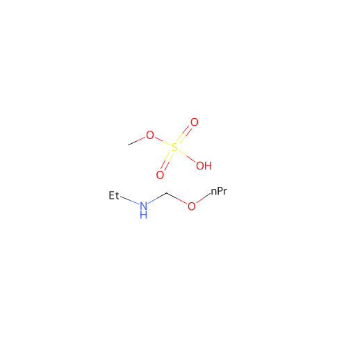 CCCOCNCC.COS(=O)(=O)O